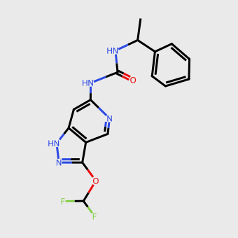 CC(NC(=O)Nc1cc2[nH]nc(OC(F)F)c2cn1)c1ccccc1